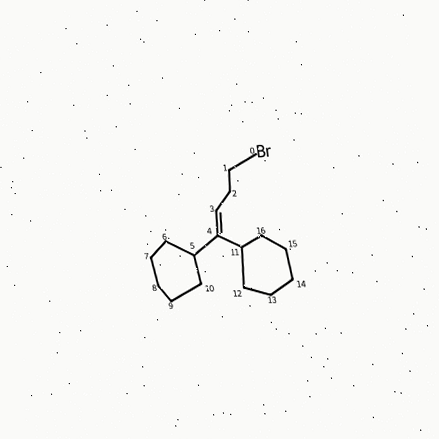 BrCCC=C(C1CCCCC1)C1CCCCC1